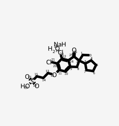 CCC1(C2CCCC2)Cc2cc(OCCCS(=O)(=O)O)c(Cl)c(Cl)c2C1=O.O.[NaH]